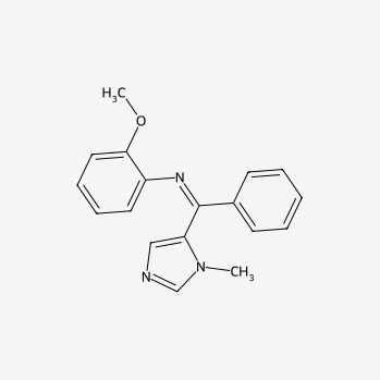 COc1ccccc1N=C(c1ccccc1)c1cncn1C